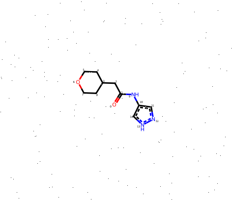 O=C(CC1CCOCC1)Nc1cn[nH]c1